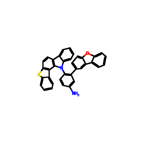 Nc1ccc(-n2c3ccccc3c3ccc4sc5ccccc5c4c32)c(-c2ccc3oc4ccccc4c3c2)c1